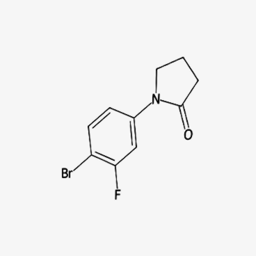 O=C1CCCN1c1ccc(Br)c(F)c1